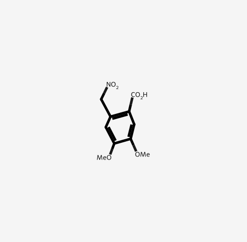 COc1cc(C[N+](=O)[O-])c(C(=O)O)cc1OC